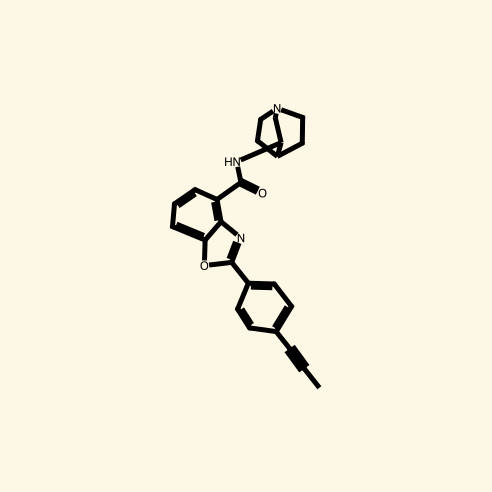 CC#Cc1ccc(-c2nc3c(C(=O)NC4CN5CCC4CC5)cccc3o2)cc1